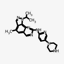 Cc1cc2cnc(Nc3ccc(N4CCNCC4)cn3)nc2c2c1cnn2C(C)C